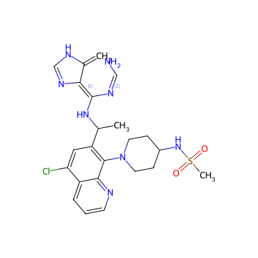 C=c1[nH]cn/c1=C(/N=C\N)NC(C)c1cc(Cl)c2cccnc2c1N1CCC(NS(C)(=O)=O)CC1